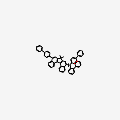 CC1(C)c2cc(-c3ccc(-c4ccccc4)cc3)c3ccccc3c2-c2c1cc(N(c1ccc(-c3ccccc3)cc1)c1ccccc1-c1ccccc1)c1ccccc21